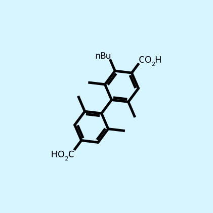 CCCCc1c(C(=O)O)cc(C)c(-c2c(C)cc(C(=O)O)cc2C)c1C